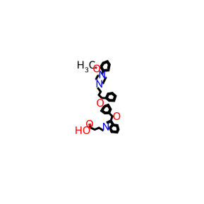 COc1ccccc1N1CCN(CCCC(Oc2ccc(C(=O)c3cn(CCCC(=O)O)c4ccccc34)cc2)c2ccccc2)CC1